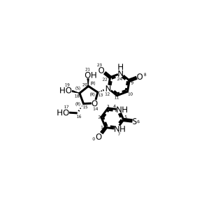 O=c1cc[nH]c(=S)[nH]1.O=c1ccn([C@@H]2O[C@H](CO)[C@@H](O)[C@H]2O)c(=O)[nH]1